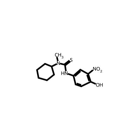 CN(C(=S)Nc1ccc(O)c([N+](=O)[O-])c1)C1CCCCC1